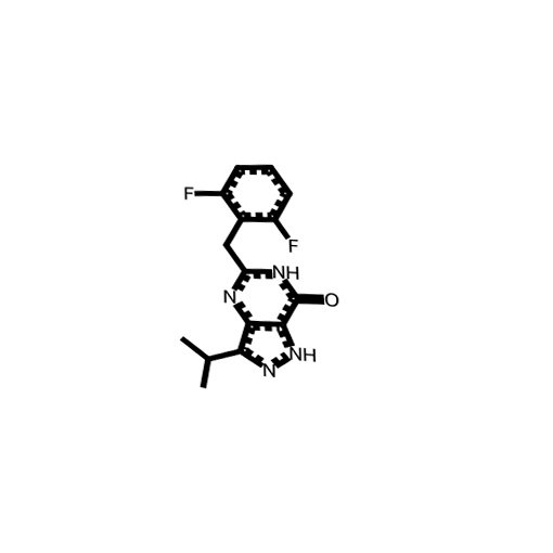 CC(C)c1n[nH]c2c(=O)[nH]c(Cc3c(F)cccc3F)nc12